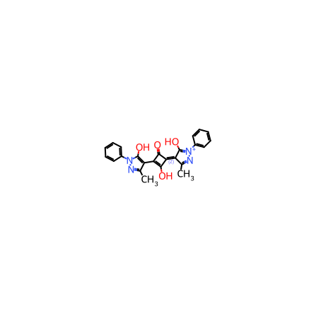 CC1=N[N+](c2ccccc2)=C(O)/C1=C1\C(=O)C(c2c(C)nn(-c3ccccc3)c2O)=C1O